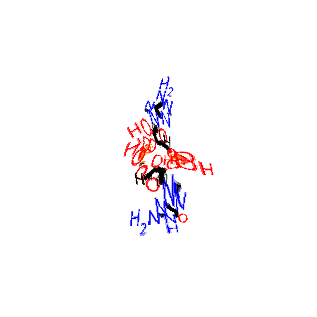 Nc1nc2c(ncn2[C@@H]2O[C@@H]3OCP(=O)(O)OC4C(O)[C@H](n5cnc6c(N)ncnc65)O[C@@H]4COP(=O)(O)OC2C3O)c(=O)[nH]1